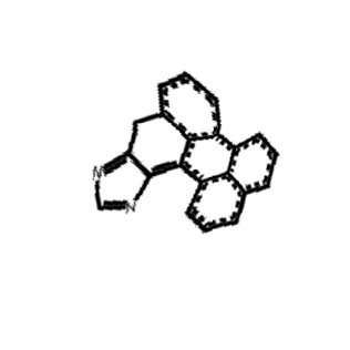 C1=NC2=c3c4cccc5cccc(c6cccc(c36)CC2=N1)c54